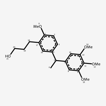 COc1ccc(C(C)c2cc(OC)c(OC)c(OC)c2)cc1CCCO